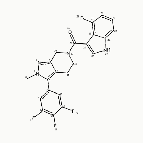 Cn1nc2c(c1-c1cc(F)c(F)c(F)c1)CCN(C(=O)c1c[nH]c3cccc(F)c13)C2